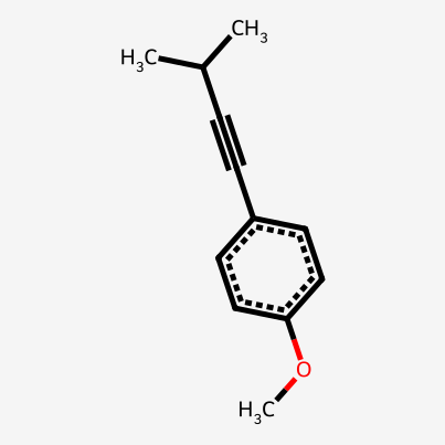 COc1ccc(C#CC(C)C)cc1